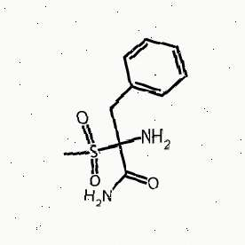 CS(=O)(=O)C(N)(Cc1ccccc1)C(N)=O